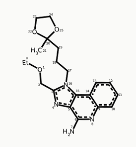 CCOCc1nc2c(N)nc3ccccc3c2n1CCCC1(C)OCCO1